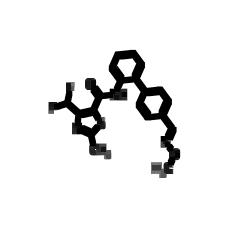 CO/N=C/c1ccc(-c2ccccc2NC(=O)c2sc(C)nc2C(F)F)cc1